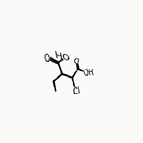 CCC(C(=O)O)C(Cl)C(=O)O